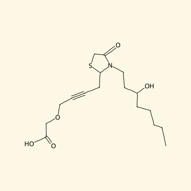 CCCCCC(O)CCN1C(=O)CSC1CC#CCOCC(=O)O